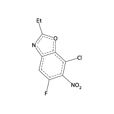 CCc1nc2cc(F)c([N+](=O)[O-])c(Cl)c2o1